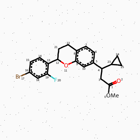 COC(=O)CC(c1ccc2c(c1)OC(c1ccc(Br)cc1F)CC2)C1CC1